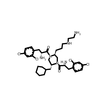 NCCNCCC[C@H]1CN(C(=O)[C@H](N)Cc2ccc(Cl)cc2Cl)[C@H](CC2CCCCC2)CN1C(=O)[C@H](N)Cc1ccc(Cl)cc1Cl